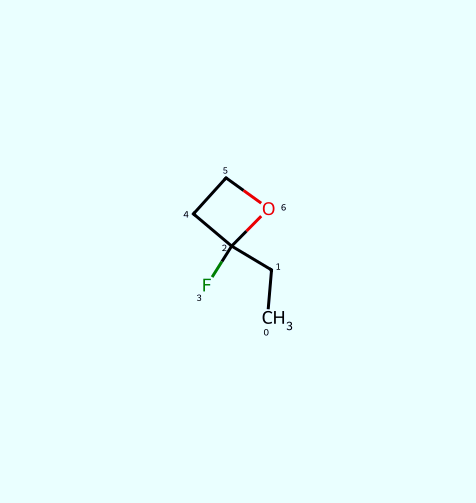 CCC1(F)CCO1